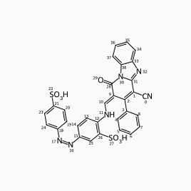 N#Cc1c(-c2ccccc2)/c(=C\Nc2ccc(/N=N\c3ccc(S(=O)(=O)O)cc3)cc2S(=O)(=O)O)c(=O)n2c1nc1ccccc12